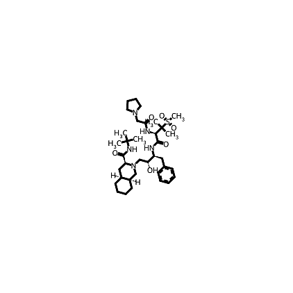 CC(C)(C)NC(=O)[C@@H]1C[C@@H]2CCCC[C@@H]2CN1C[C@@H](O)[C@H](Cc1ccccc1)NC(=O)[C@@H](NC(=O)CN1CCCC1)C(C)(C)S(C)(=O)=O